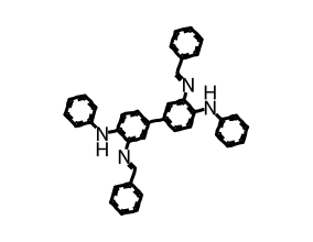 C(=Nc1cc(-c2ccc(Nc3ccccc3)c(N=Cc3ccccc3)c2)ccc1Nc1ccccc1)c1ccccc1